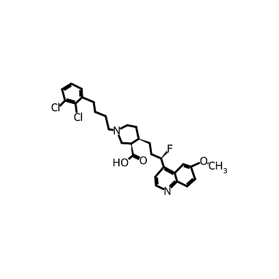 COc1ccc2nccc([C@H](F)CC[C@@H]3CCN(CCCCc4cccc(Cl)c4Cl)C[C@@H]3C(=O)O)c2c1